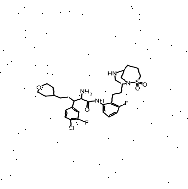 NC(C(=O)Nc1cccc(F)c1CCC1CNC2CCCS(=O)(=O)N1C2)C(CCC1CCOCC1)c1ccc(Cl)c(F)c1